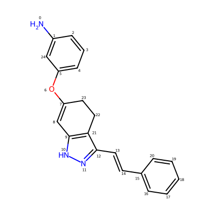 Nc1cccc(OC2=Cc3[nH]nc(/C=C/c4ccccc4)c3CC2)c1